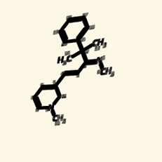 C/N=C(\C=C\C1=CC=CN(C)C1)C(C)(C)c1ccccc1